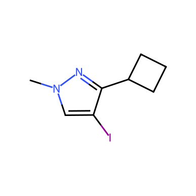 Cn1cc(I)c(C2CCC2)n1